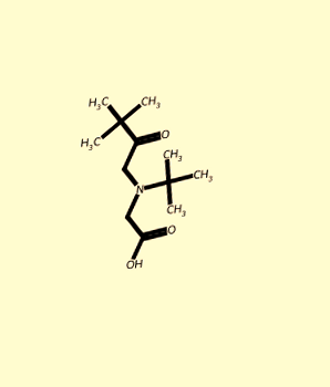 CC(C)(C)C(=O)CN(CC(=O)O)C(C)(C)C